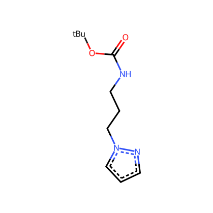 CC(C)(C)OC(=O)NCCCn1cccn1